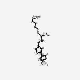 CCCCCCCCCCCCCCCC(NCc1csc(-c2csc(N)n2)c1)OC(C)=O